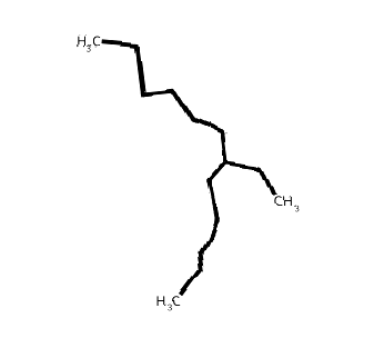 CCCCC[CH]C(CC)CCCCC